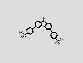 O=P(O)(O)c1ccc(-c2ccc3[nH]c4ccc(-c5ccc(P(=O)(O)O)cc5)cc4c3c2)cc1